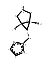 c1cnn(C[C@@H]2[C@@H]3CNC[C@@H]32)n1